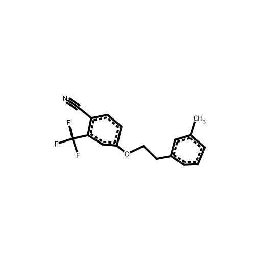 Cc1cccc(CCOc2ccc(C#N)c(C(F)(F)F)c2)c1